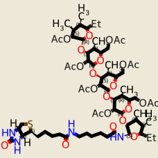 CCC1O[C@H](O[C@@H]2C(OC(C)=O)[C@@H](O[C@@H]3C(OC(C)=O)[C@@H](O[C@@H]4C(OC(C)=O)[C@@H](OC5[C@@H](C)[C@H](C)C(CC)O[C@@H]5NC(=O)CCCCCNC(=O)CCCC[C@@H]5SC[C@@H]6NC(=O)N[C@@H]65)OC(COC(C)=O)[C@H]4C)OC(COC(C)=O)[C@H]3C)OC(COC(C)=O)[C@H]2C)C(OC(C)=O)[C@@H](C)[C@@H]1C